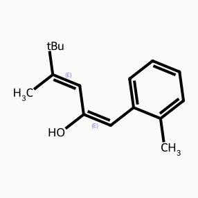 C/C(=C\C(O)=C/c1ccccc1C)C(C)(C)C